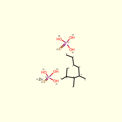 CCCCC(C)C(C)C(C)C.OP(O)(O)=S.OP(O)(O)=S.[Zn]